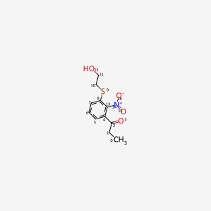 CCC(=O)c1cccc(SCCO)c1[N+](=O)[O-]